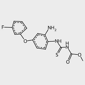 COC(=O)NC(=S)Nc1ccc(Oc2cccc(F)c2)cc1N